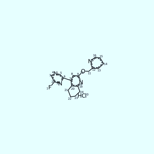 Cl.Fc1cncc(-c2cc(OCc3ccccn3)nc3c2CCCC3)n1